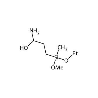 CCO[Si](C)(CCC(N)O)OC